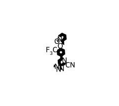 Cn1nnc2c(C#N)nc(-c3ccc(OCc4cccc[n+]4[O-])c(C(F)(F)F)c3)cc21